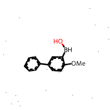 COc1ccc(-c2ccccc2)cc1BO